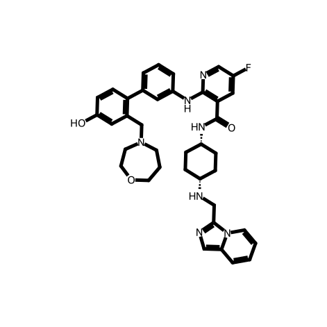 O=C(N[C@H]1CC[C@@H](NCc2ncc3ccccn23)CC1)c1cc(F)cnc1Nc1cccc(-c2ccc(O)cc2CN2CCCOCC2)c1